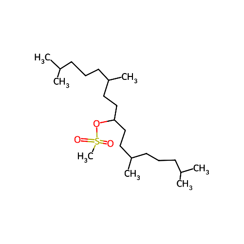 CC(C)CCCC(C)CCC(CCC(C)CCCC(C)C)OS(C)(=O)=O